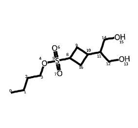 CCCCOS(=O)(=O)C1CC(C(CO)CO)C1